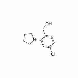 OCc1ccc(Cl)cc1N1CCCC1